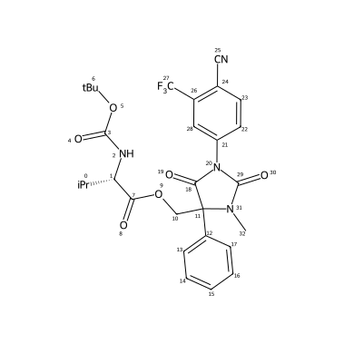 CC(C)[C@H](NC(=O)OC(C)(C)C)C(=O)OCC1(c2ccccc2)C(=O)N(c2ccc(C#N)c(C(F)(F)F)c2)C(=O)N1C